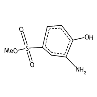 COS(=O)(=O)c1ccc(O)c(N)c1